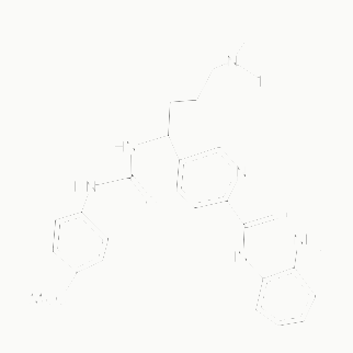 CCN(CC)CCCC(NC(=O)Nc1ccc(OC)cc1)c1ccc(C(=O)Nc2ccccc2N)nc1